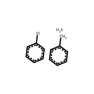 Cc1ccccc1.Clc1ccccc1.S